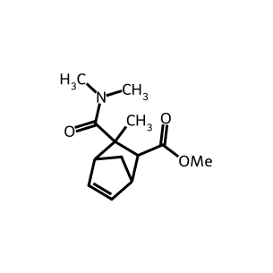 COC(=O)C1C2C=CC(C2)C1(C)C(=O)N(C)C